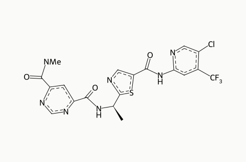 CNC(=O)c1cc(C(=O)N[C@H](C)c2ncc(C(=O)Nc3cc(C(F)(F)F)c(Cl)cn3)s2)ncn1